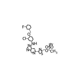 CC(C)S(=O)(=O)C(C)OCc1nc(-c2cc3c(Nc4ccc(OCc5cccc(F)c5)c(Cl)c4)ncnc3cn2)cs1